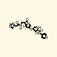 C[C@@H](NC(=O)Cn1cnnn1)[C@H]1C(=O)N2C=C(S[C@@H]3CN[C@H](C(=O)Nc4ccncc4)C3)[C@H](C)[C@H]12